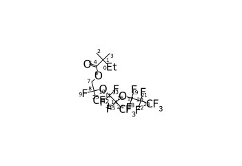 CCC(C)(C)C(=O)OCC(F)(OC(F)(F)C(F)(OC(F)(F)C(F)(F)C(F)(F)F)C(F)(F)F)C(F)(F)F